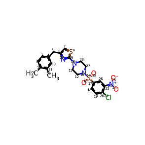 Cc1ccc(Cc2csc(N3CCN(S(=O)(=O)c4ccc(Cl)c([N+](=O)[O-])c4)CC3)n2)cc1C